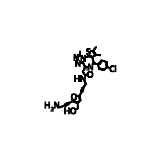 Cc1sc2c(c1C)C(c1ccc(Cl)cc1)=N[C@@H](CC(=O)NCC#Cc1cc(CO)c(C#CCN)o1)c1nnc(C)n1-2